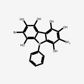 Bc1c(O)c(O)c2c3c(O)c(O)c(Br)c(O)c3n(-c3ccccc3)c2c1O